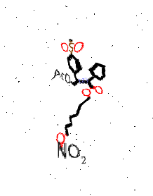 CC(=O)OC/C(=C(\C(=O)OCCCCCCCO[N+](=O)[O-])c1ccccc1)c1ccc(S(C)(=O)=O)cc1